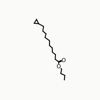 CCCCOC(=O)CCCCCCCCCCC1CC1